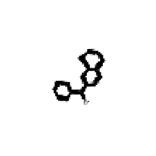 BrC(c1ccccc1)c1ccc2ccccc2c1